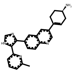 Cc1cccc(-c2[nH]cnc2-c2ccc3ncc(C4=CC[C@H](N)CC4)cc3c2)n1